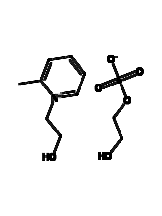 Cc1cccc[n+]1CCO.O=S(=O)([O-])OCCO